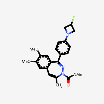 CNC(=O)N1N=C(c2ccc(N3CC(F)C3)cc2)c2cc(OC)c(OC)cc2C=C1C